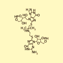 CC(C)(CSc1nc2c(=O)[nH]c(N)nc2n1CC(O)C1OPOCC1O)NCCSc1nc2c(=O)[nH]c(N)nc2n1C1OC2COPOC2C1O